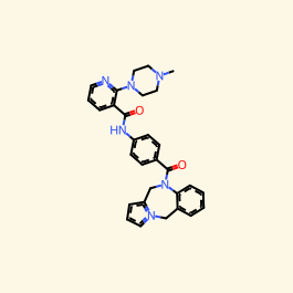 CN1CCN(c2ncccc2C(=O)Nc2ccc(C(=O)N3Cc4cccn4Cc4ccccc43)cc2)CC1